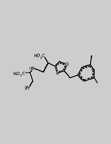 Cc1cc(C)cc(Cc2nc(C(CNC(CC(C)C)C(=O)O)C(=O)O)co2)c1